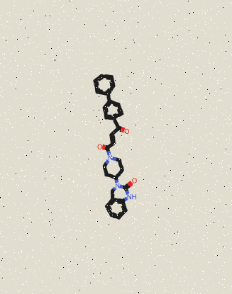 O=C(C=CC(=O)N1CCC(N2Cc3ccccc3NC2=O)CC1)c1ccc(-c2ccccc2)cc1